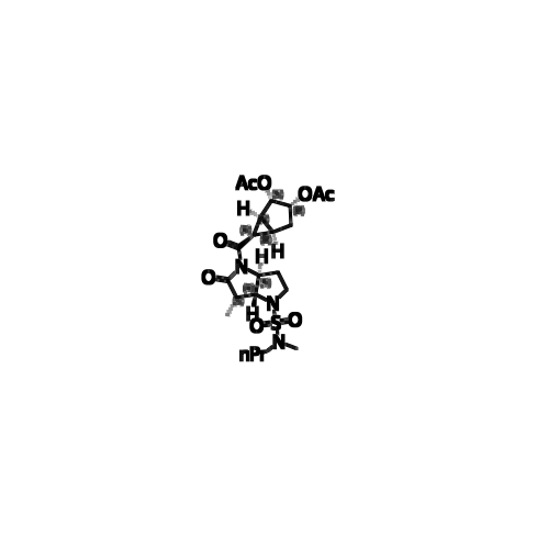 CCCN(C)S(=O)(=O)N1CC[C@H]2[C@H]1[C@H](C)C(=O)N2C(=O)[C@@H]1[C@@H]2C[C@@H](OC(C)=O)[C@@H](OC(C)=O)[C@@H]21